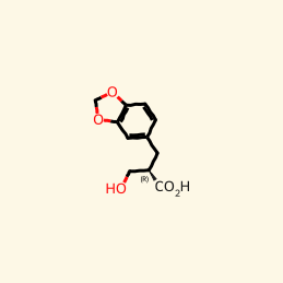 O=C(O)[C@@H](CO)Cc1ccc2c(c1)OCO2